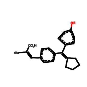 CC(C)(C)C(=Cc1ccc(C(=C2CCCC2)c2ccc(O)cc2)cc1)C(=O)O